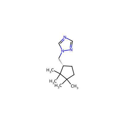 CC1(C)CC[C@@H](Cn2cncn2)C1(C)C